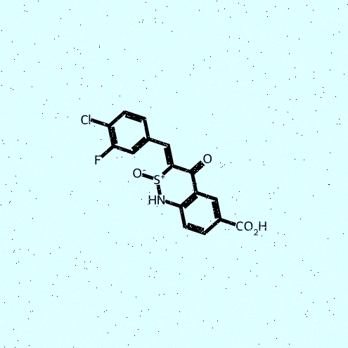 O=C(O)c1ccc2c(c1)C(=O)/C(=C/c1ccc(Cl)c(F)c1)[S+]([O-])N2